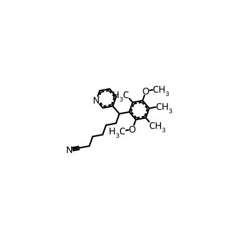 COc1c(C)c(C)c(OC)c(C(CCCCCC#N)c2cccnc2)c1C